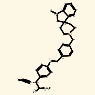 CC#C[C@H](c1ccc(OCc2ccc(CN3CCC4(CC3)CN(C)c3ccccc34)cc2)cc1)C(CC)C(=O)O